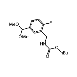 CCCCOC(=O)NCc1cc(C(OC)OC)ccc1F